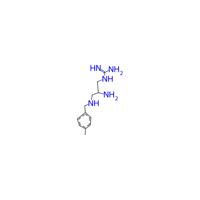 Cc1ccc(CNCC(N)CNC(=N)N)cc1